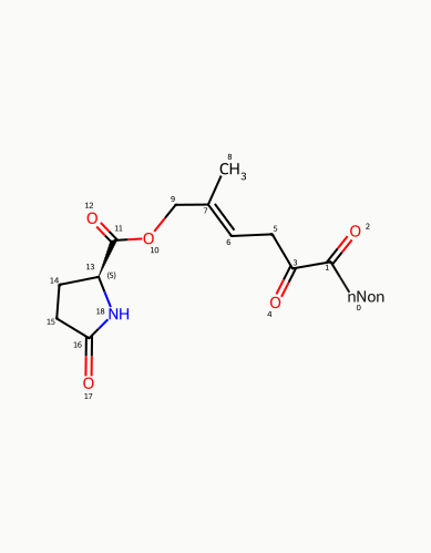 CCCCCCCCCC(=O)C(=O)CC=C(C)COC(=O)[C@@H]1CCC(=O)N1